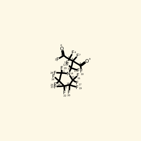 O=C(F)C(F)(F)C(F)(C(=O)F)C(F)(F)N1C(F)(F)C(F)(F)C(F)(F)C(F)(F)C1(F)F